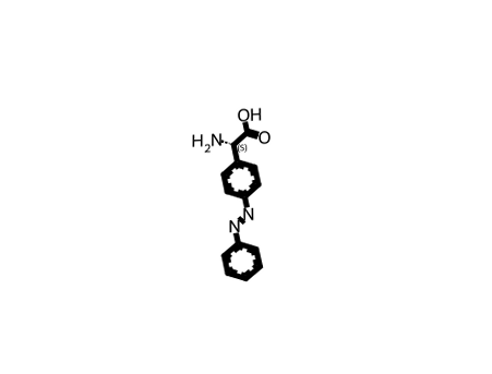 N[C@H](C(=O)O)c1ccc(N=Nc2ccccc2)cc1